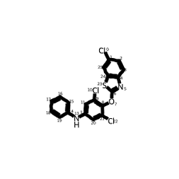 Clc1ccc2nc(Oc3c(Cl)cc(Nc4ccccc4)cc3Cl)sc2c1